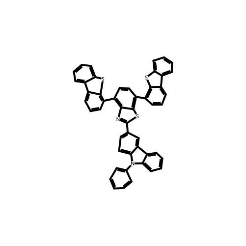 c1ccc(-n2c3ccccc3c3cc(-c4nc5c(-c6cccc7c6sc6ccccc67)ccc(-c6cccc7c6sc6ccccc67)c5s4)ccc32)cc1